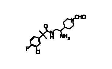 CC(C)(C(=O)NCC(N)C1CCN(C=O)CC1)c1ccc(F)c(Cl)c1